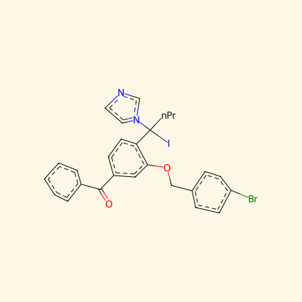 CCCC(I)(c1ccc(C(=O)c2ccccc2)cc1OCc1ccc(Br)cc1)n1ccnc1